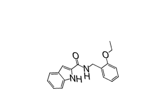 CCOc1ccccc1CNC(=O)c1cc2ccccc2[nH]1